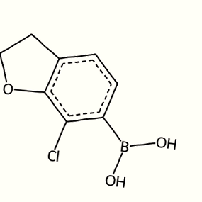 OB(O)c1ccc2c(c1Cl)OCC2